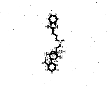 CN(CCCc1nc2ccccc2[nH]1)CC[C@@]1(O)C[C@@H]2CC[C@H]1C[C@]21OCc2ccccc21